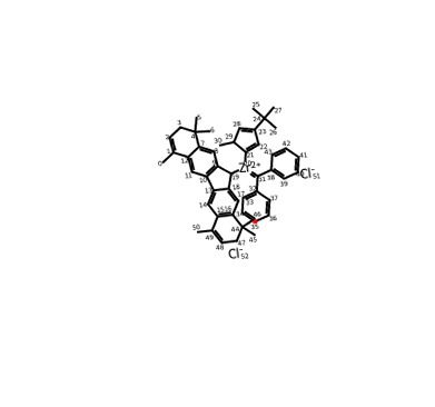 CC1=CCC(C)(C)c2cc3c(cc21)-c1cc2c(cc1[CH]3[Zr+2]([C]1=CC(C(C)(C)C)=CC1C)=[C](c1ccccc1)c1ccccc1)C(C)(C)CC=C2C.[Cl-].[Cl-]